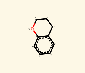 [C]1CCc2ccccc2O1